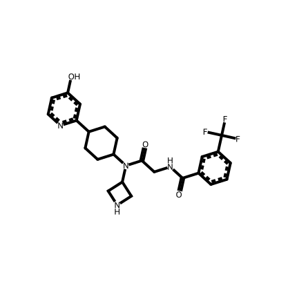 O=C(NCC(=O)N(C1CCC(c2cc(O)ccn2)CC1)C1CNC1)c1cccc(C(F)(F)F)c1